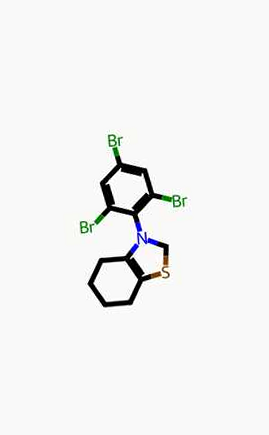 Brc1cc(Br)c(N2CSC3=C2CCCC3)c(Br)c1